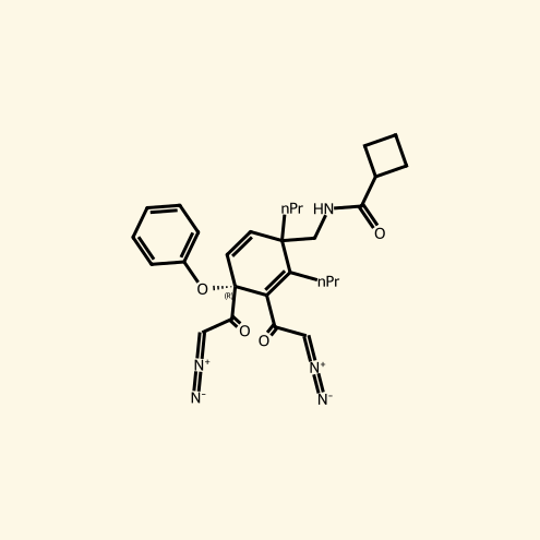 CCCC1=C(C(=O)C=[N+]=[N-])[C@@](Oc2ccccc2)(C(=O)C=[N+]=[N-])C=CC1(CCC)CNC(=O)C1CCC1